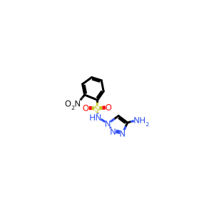 Nc1cn(NS(=O)(=O)c2ccccc2[N+](=O)[O-])nn1